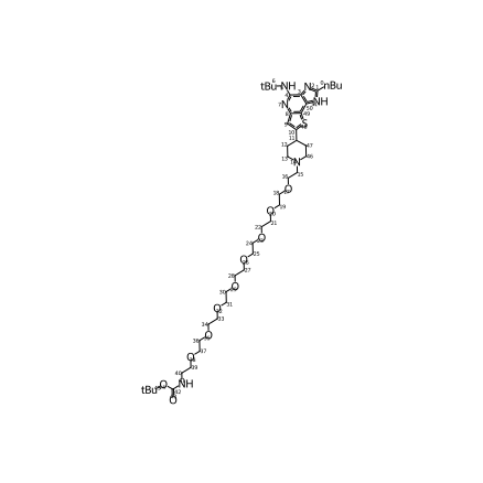 CCCCc1nc2c(NC(C)(C)C)nc3cc(C4CCN(CCOCCOCCOCCOCCOCCOCCOCCOCCNC(=O)OC(C)(C)C)CC4)sc3c2[nH]1